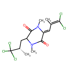 CC(/C=C1/C(=O)N(C)C(C[C@H](C)C(Cl)(Cl)Cl)C(=O)N1C)=C(Cl)Cl